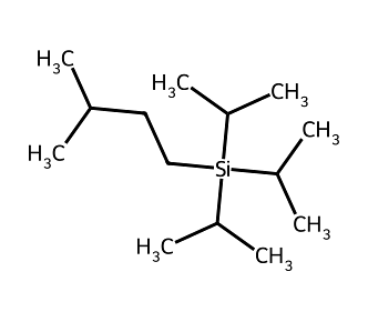 CC(C)CC[Si](C(C)C)(C(C)C)C(C)C